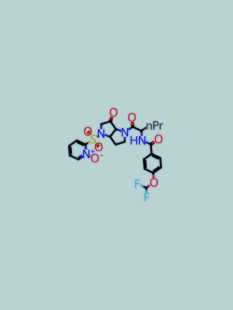 CCCC(NC(=O)c1ccc(OC(F)F)cc1)C(=O)N1CCC2C1C(=O)CN2S(=O)(=O)c1cccc[n+]1[O-]